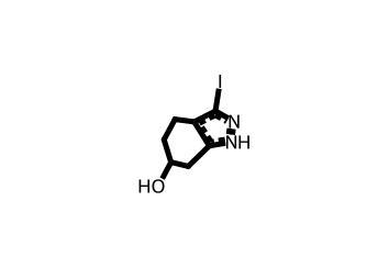 OC1CCc2c(I)n[nH]c2C1